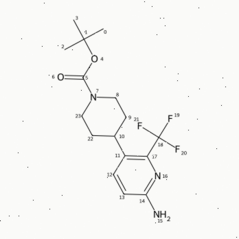 CC(C)(C)OC(=O)N1CCC(c2ccc(N)nc2C(F)(F)F)CC1